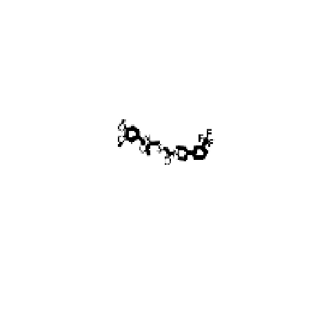 COc1ccc(-c2nc(CSCC(=O)N3CCC(c4cccc(C(F)(F)F)c4)CC3)c(C)o2)cc1OC